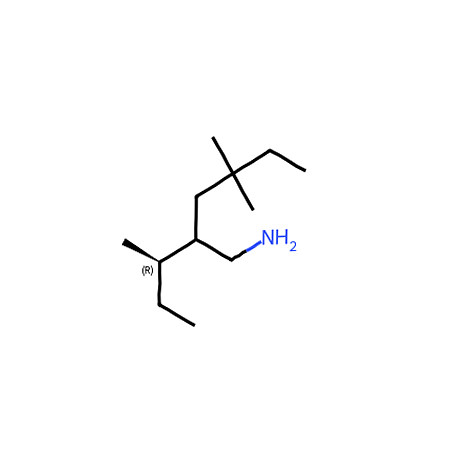 CC[C@@H](C)C(CN)CC(C)(C)CC